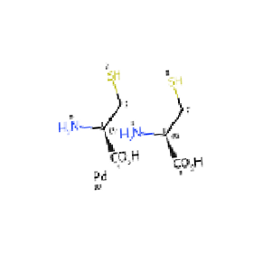 N[C@@H](CS)C(=O)O.N[C@@H](CS)C(=O)O.[Pd]